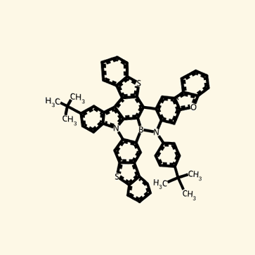 CC(C)(C)c1ccc(N2B3c4cc5c(cc4-n4c6ccc(C(C)(C)C)cc6c6c7c(sc8ccccc87)c(c3c64)-c3cc4c(cc32)oc2ccccc24)sc2ccccc25)cc1